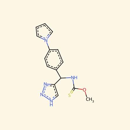 COC(=S)NC(c1ccc(-n2cccc2)cc1)c1c[nH]nn1